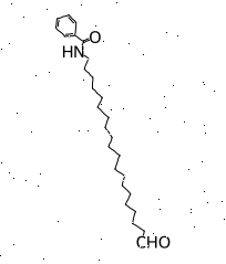 O=CCCCCCCCCCCCCCCCCCCCNC(=O)c1ccccc1